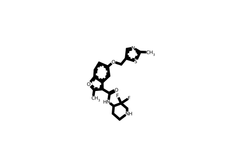 Cc1ncc(COc2ccc3oc(C)c(C(=O)NC4CCNCC4(F)F)c3c2)s1